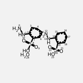 NNc1ccccc1S(=O)(=O)O.NNc1ccccc1S(=O)(=O)O.O